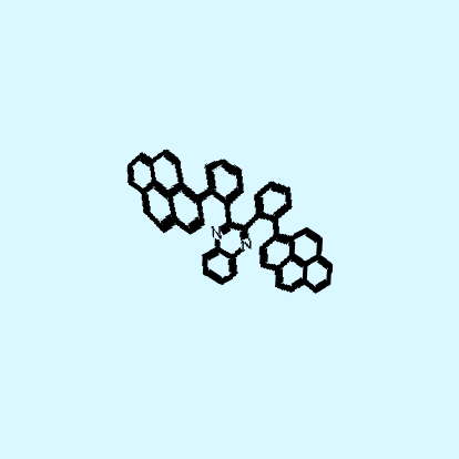 c1ccc(-c2ccc3ccc4cccc5ccc2c3c45)c(-c2nc3ccccc3nc2-c2ccccc2-c2ccc3ccc4cccc5ccc2c3c45)c1